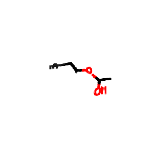 CCCC[CH]OC(C)O